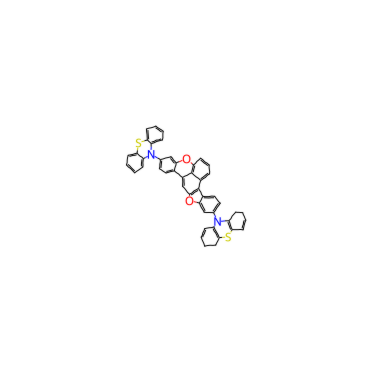 C1=CC2=C(CC1)SC1=C(CCC=C1)N2c1ccc2c(c1)oc1cc3c4c(cccc4c12)Oc1cc(N2c4ccccc4Sc4ccccc42)ccc1-3